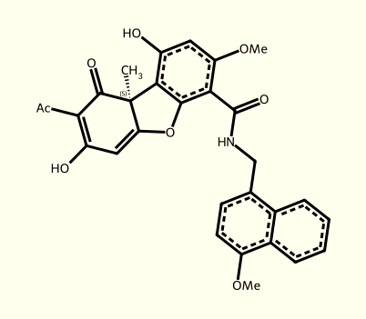 COc1cc(O)c2c(c1C(=O)NCc1ccc(OC)c3ccccc13)OC1=CC(O)=C(C(C)=O)C(=O)[C@]12C